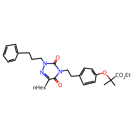 CCCCCCc1nn(CCCc2ccccc2)c(=O)n(CCc2ccc(OC(C)(C)C(=O)OCC)cc2)c1=O